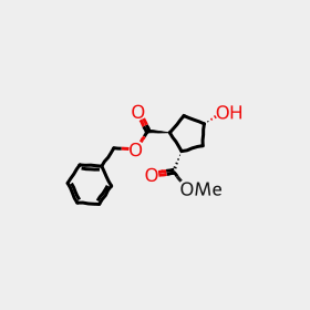 COC(=O)[C@H]1C[C@@H](O)C[C@@H]1C(=O)OCc1ccccc1